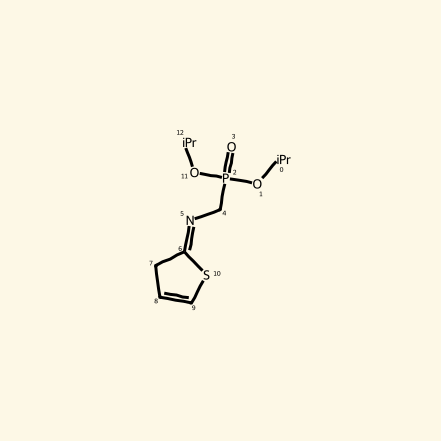 CC(C)OP(=O)(CN=C1CC=CS1)OC(C)C